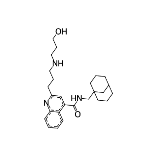 O=C(NCC12CCCC(CCC1)C2)c1cc(CCCNCCCO)nc2ccccc12